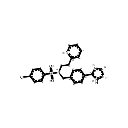 O=S(=O)(c1ccc(Cl)cc1)N(CCc1ccccn1)Cc1ccc(-c2nnn[nH]2)cc1